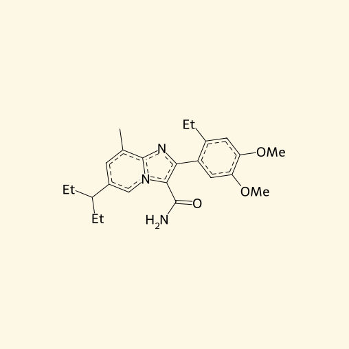 CCc1cc(OC)c(OC)cc1-c1nc2c(C)cc(C(CC)CC)cn2c1C(N)=O